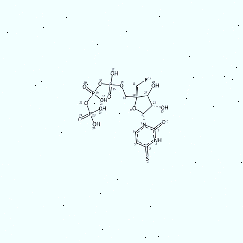 O=c1[nH]c(=S)ccn1[C@@H]1O[C@](CF)(COP(=O)(O)OP(=O)(O)OP(=O)(O)O)C(O)[C@@H]1O